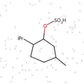 CC1CCC(C(C)C)C(OS(=O)(=O)O)C1